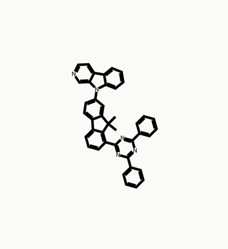 CC1(C)c2cc(-n3c4ccccc4c4ccncc43)ccc2-c2cccc(-c3nc(-c4ccccc4)nc(-c4ccccc4)n3)c21